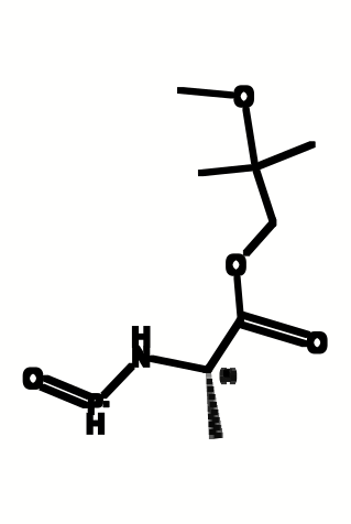 COC(C)(C)COC(=O)[C@H](C)N[PH]=O